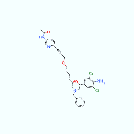 CC(=O)Nc1ccc(C#CCOCCCCCCN(Cc2ccccc2)CC(O)c2cc(Cl)c(N)c(Cl)c2)nc1